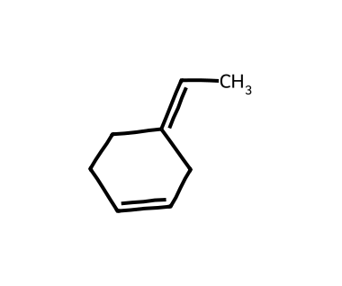 C/C=C1\CC=CCC1